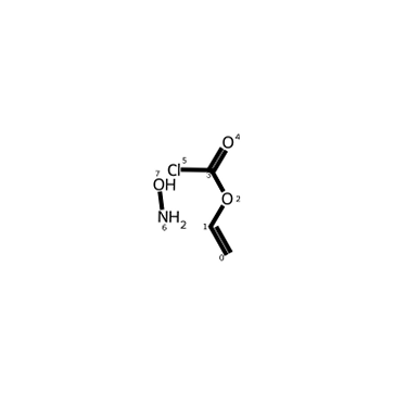 C=COC(=O)Cl.NO